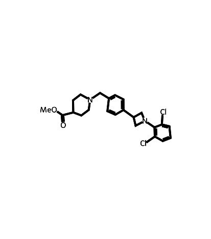 COC(=O)C1CCN(Cc2ccc(C3CN(c4c(Cl)cccc4Cl)C3)cc2)CC1